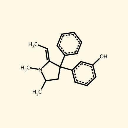 CC=C1N(C)C(C)CC1(c1ccccc1)c1cccc(O)c1